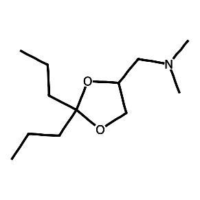 CCCC1(CCC)OCC(CN(C)C)O1